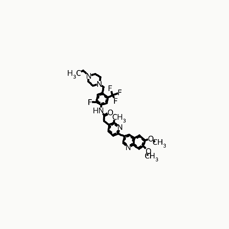 CCN1CCN(Cc2cc(F)c(NC(=O)Cc3ccc(-c4cnc5cc(OC)c(OC)cc5c4)nc3C)cc2C(F)(F)F)CC1